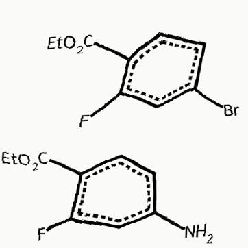 CCOC(=O)c1ccc(Br)cc1F.CCOC(=O)c1ccc(N)cc1F